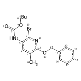 Cc1cc(NC(=O)OC(C)(C)C)c(Br)nc1OCc1ccccc1